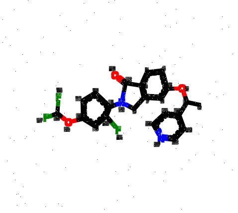 CC(Oc1ccc2c(c1)CN(c1ccc(OC(F)F)cc1F)C2=O)c1ccncc1